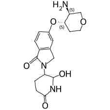 N[C@H]1COCC[C@@H]1Oc1ccc2c(c1)CN(C1CCC(=O)NC1O)C2=O